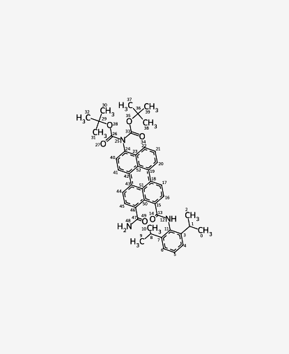 CC(C)c1cccc(C(C)C)c1NC(=O)c1ccc2c3cccc4c(N(C(=O)OC(C)(C)C)C(=O)OC(C)(C)C)ccc(c5ccc(C(N)=O)c1c52)c43